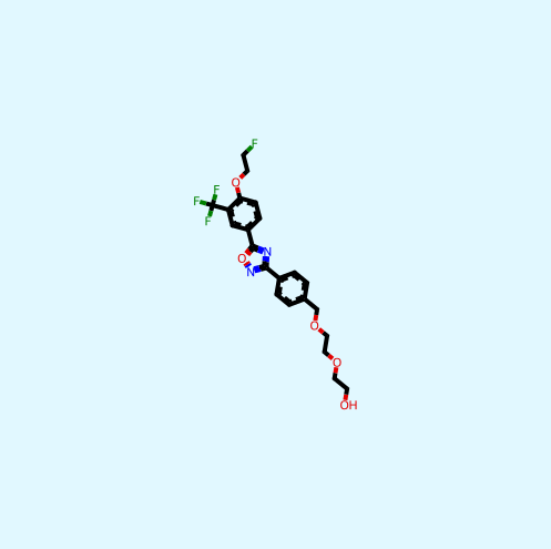 OCCOCCOCc1ccc(-c2noc(-c3ccc(OCCF)c(C(F)(F)F)c3)n2)cc1